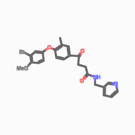 CCc1cc(Oc2ccc(C(=O)CCC(=O)NCc3cccnc3)cc2C)ccc1OC